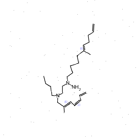 C=C/C=C\C=C(/C)CN(CCCC)CCN(N)CCCCC/C(C)=C/CCC=C